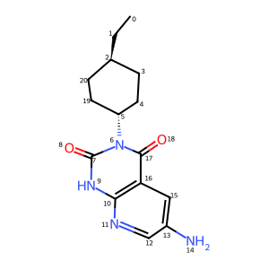 CC[C@H]1CC[C@H](n2c(=O)[nH]c3ncc(N)cc3c2=O)CC1